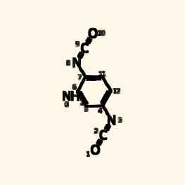 N.O=C=Nc1ccc(N=C=O)cc1